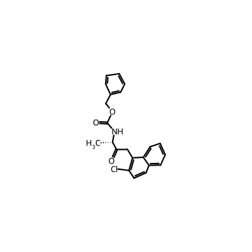 C[C@H](NC(=O)OCc1ccccc1)C(=O)Cc1c(Cl)ccc2ccccc12